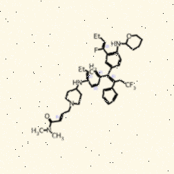 C/C=C(\C=C/C(=C/CC)NC1CCN(C/C=C/C(=O)N(C)C)CC1)C(=C(/CC(F)(F)F)c1ccccc1)/c1ccc(NC2CCCCO2)c(/C(F)=C/CC)c1